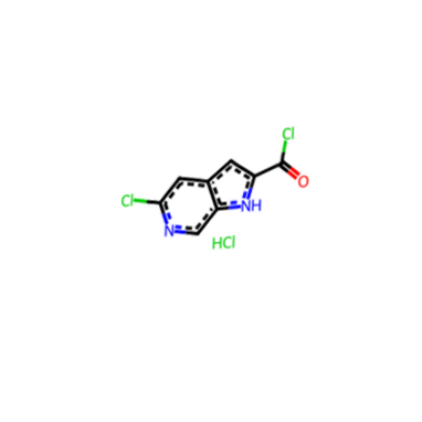 Cl.O=C(Cl)c1cc2cc(Cl)ncc2[nH]1